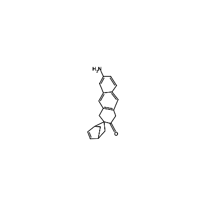 Nc1ccc2cc3c(cc2c1)CC1(CC2C=CC1C2)C(=O)C3